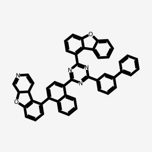 C1=CC2c3c(cccc3-c3ccc(-c4nc(-c5cccc(-c6ccccc6)c5)nc(-c5cccc6oc7ccccc7c56)n4)c4ccccc34)OC2C=N1